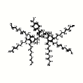 CCCCCCCCCc1cc(Nc2nc(Nc3cc(CCCCCCCCC)c(CCCCCCCCC)c(CCCCCCCCC)c3)nc(-c3ccc(CC)cc3)n2)cc(CCCCCCCCC)c1CCCCCCCCC